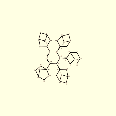 C[C@@H](C1CC2CC(C1)O2)[C@@H](C1CC2CC(C1)S2)[C@@H](C1C2CCCC1S2)[C@@H](C1CC2CC(C1)S2)[C@H](C)C12CCC(CC1)C2